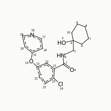 O=C(NCC1(O)CCCCC1)c1cc(Oc2ccncc2)ccc1Cl